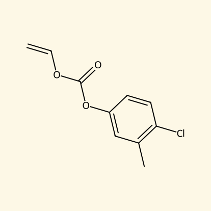 C=COC(=O)Oc1ccc(Cl)c(C)c1